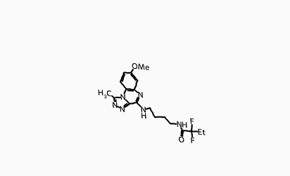 CCC(F)(F)C(=O)NCCCCNc1nc2cc(OC)ccc2n2c(C)nnc12